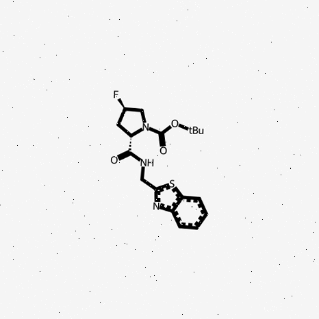 CC(C)(C)OC(=O)N1C[C@H](F)C[C@H]1C(=O)NCc1nc2ccccc2s1